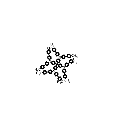 Cc1ccc(-c2ccc(N(c3ccc(-c4ccc(C)cc4)cc3)c3ccc(C(c4ccc(N(c5ccc(-c6ccc(C)cc6)cc5)c5ccc(-c6ccc(C)cc6)cc5)cc4)(c4ccc(N(c5ccc(-c6ccc(C)cc6)cc5)c5ccc(-c6ccc(C)cc6)cc5)cc4)c4ccc(N(c5ccc(-c6ccc(C)cc6)cc5)c5ccc(-c6ccc(C)cc6)cc5)cc4)cc3)cc2)cc1